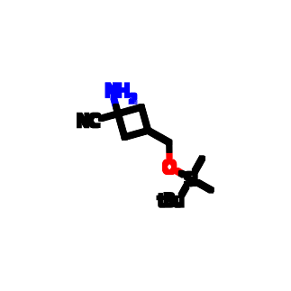 CC(C)(C)[Si](C)(C)OCC1CC(N)(C#N)C1